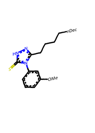 CCCCCCCCCCCCCCc1n[nH]c(=S)n1-c1cccc(OC)c1